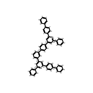 c1ccc(-c2ccc(-c3cc(-c4ccc(-c5cccc(-c6cc(-c7ccccc7)nc(-c7ccc(-c8ccccc8)cc7)c6)c5)cc4)cc(-c4ccccc4)n3)cc2)cc1